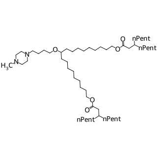 CCCCCC(CCCCC)CC(=O)OCCCCCCCCCC(CCCCCCCCCOC(=O)CC(CCCCC)CCCCC)OCCCCN1CCN(C)CC1